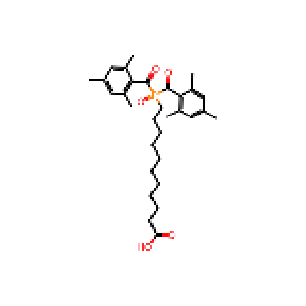 Cc1cc(C)c(C(=O)P(=O)(CCCCCCCCCCC(=O)O)C(=O)c2c(C)cc(C)cc2C)c(C)c1